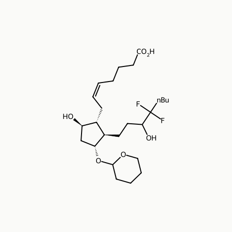 CCCCC(F)(F)C(O)CC[C@@H]1[C@@H](C/C=C\CCCC(=O)O)[C@H](O)C[C@H]1OC1CCCCO1